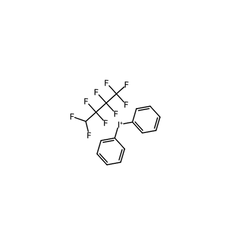 FC(F)C(F)(F)C(F)(F)C(F)(F)F.c1ccc([I+]c2ccccc2)cc1